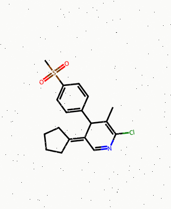 CC1=C(Cl)N=CC(=C2CCCC2)C1c1ccc(S(C)(=O)=O)cc1